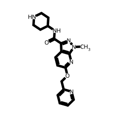 Cn1nc(C(=O)NC2CCNCC2)c2ccc(OCc3ccccn3)nc21